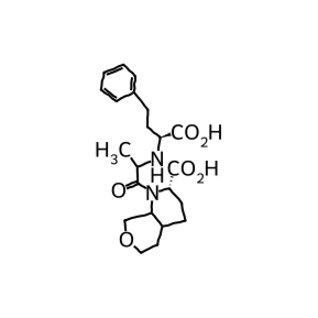 CC(N[C@@H](CCc1ccccc1)C(=O)O)C(=O)N1C2COCCC2CC[C@H]1C(=O)O